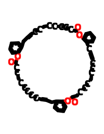 O=C1CCCCCCCCC=CCc2ccccc2OC(=O)CCCCCCCCC=CCc2ccccc2OC(=O)CCCCCCCCC=CCc2ccccc2O1